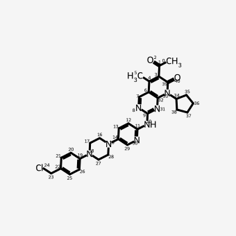 CC(=O)c1c(C)c2cnc(Nc3ccc(N4CCN(c5ccc(CCl)cc5)CC4)cn3)nc2n(C2CCCC2)c1=O